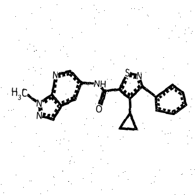 Cn1ncc2cc(NC(=O)c3snc(-c4ccccc4)c3C3CC3)cnc21